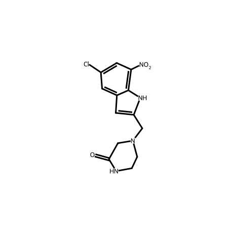 O=C1CN(Cc2cc3cc(Cl)cc([N+](=O)[O-])c3[nH]2)CCN1